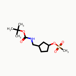 CC(C)(C)OC(=O)NCC1CCC(OS(C)(=O)=O)C1